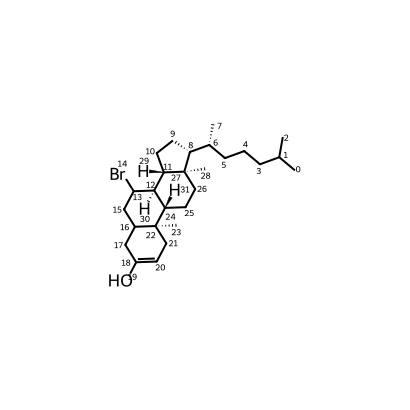 CC(C)CCC[C@@H](C)[C@H]1CC[C@H]2[C@@H]3C(Br)CC4CC(O)=CC[C@]4(C)[C@H]3CC[C@]12C